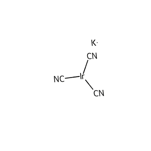 N#[C][Ir]([C]#N)[C]#N.[K]